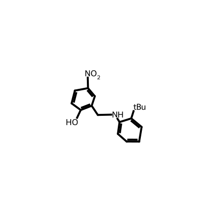 CC(C)(C)c1ccccc1NCc1cc([N+](=O)[O-])ccc1O